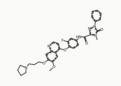 COc1cc2c(Oc3ccc(NC(=O)c4nn(-c5ccccc5)c(=O)n4C)cc3F)ccnc2cc1OCCCN1CCCC1